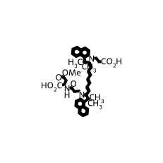 COC(=O)CC(NC(=O)CC[N+]1=C(/C=C/C=C/C=C/C=C2/N(CCC(=O)O)c3ccc4ccccc4c3C2(C)C)C(C)(C)c2c1ccc1ccccc21)C(=O)O